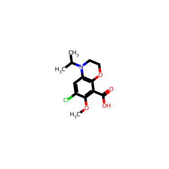 COc1c(Cl)cc2c(c1C(=O)O)OCCN2C(C)C